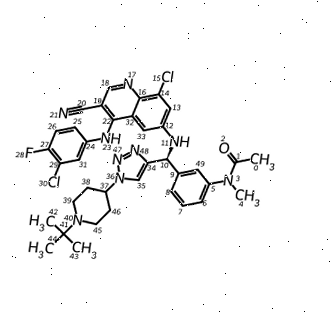 CC(=O)N(C)c1cccc([C@H](Nc2cc(Cl)c3ncc(C#N)c(Nc4ccc(F)c(Cl)c4)c3c2)c2cn(C3CCN(C(C)(C)C)CC3)nn2)c1